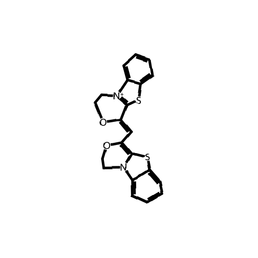 C(=C1OCC[n+]2c1sc1ccccc12)C1=C2Sc3ccccc3N2CCO1